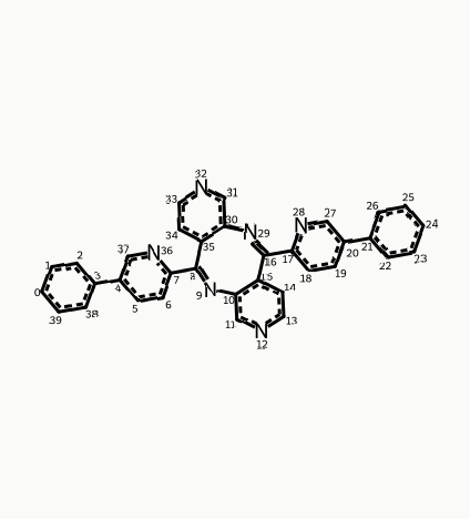 c1ccc(-c2ccc(/C3=N/c4cnccc4/C(c4ccc(-c5ccccc5)cn4)=N\c4cnccc43)nc2)cc1